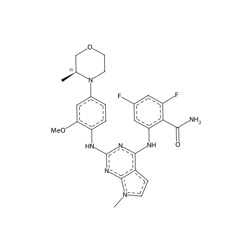 COc1cc(N2CCOC[C@@H]2C)ccc1Nc1nc(Nc2cc(F)cc(F)c2C(N)=O)c2ccn(C)c2n1